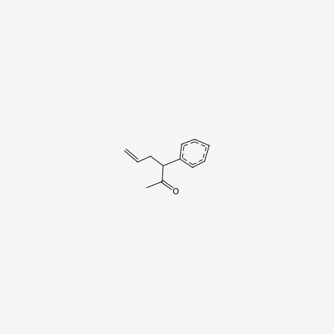 C=CCC(C(C)=O)c1ccccc1